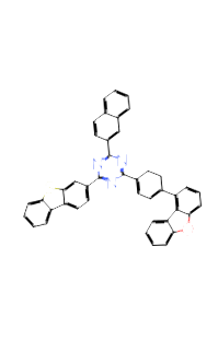 C1=C(c2nc(-c3ccc4ccccc4c3)nc(-c3ccc4c(c3)sc3ccccc34)n2)CCC(c2cccc3oc4ccccc4c23)=C1